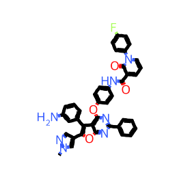 Cn1cc(-c2oc3nc(-c4ccccc4)nc(Oc4ccc(NC(=O)c5cccn(-c6ccc(F)cc6)c5=O)cc4)c3c2-c2cccc(N)c2)cn1